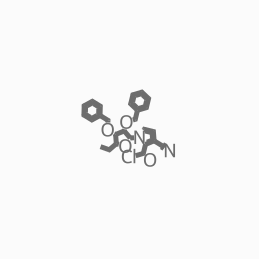 CCC1OC(n2ccc(C#N)c2C(=O)Cl)C(OCc2ccccc2)C1OCc1ccccc1